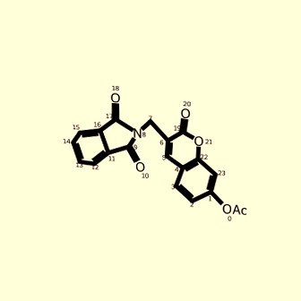 CC(=O)Oc1ccc2cc(CN3C(=O)c4ccccc4C3=O)c(=O)oc2c1